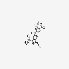 COC[C@](C)(N)c1cnc(OC2CC2)c2cnc(Nc3ccc4c(n3)[C@H](C)[C@@H](C)OC4=O)cc12